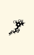 CC(C)(C)c1cc(C2=NOC(CN=C=S)C2)cc(Cl)c1O